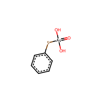 O=[As](O)(O)Sc1ccccc1